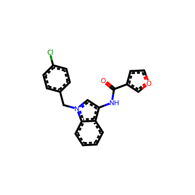 O=C(Nc1cn(Cc2ccc(Cl)cc2)c2ccccc12)c1ccoc1